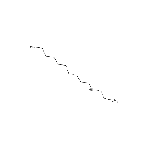 CCCNCCCCCCCCCO